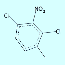 Cc1ccc(Cl)c([N+](=O)[O-])c1Cl